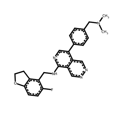 CN(C)Cc1ccc(-c2cnc(NCc3c(F)ccc4c3CCO4)c3cnncc23)cc1